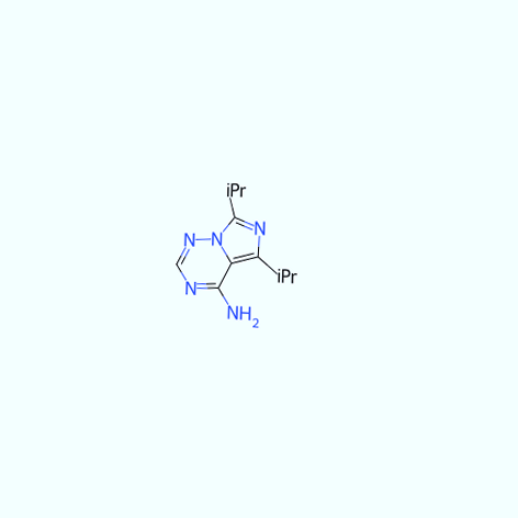 CC(C)c1nc(C(C)C)n2ncnc(N)c12